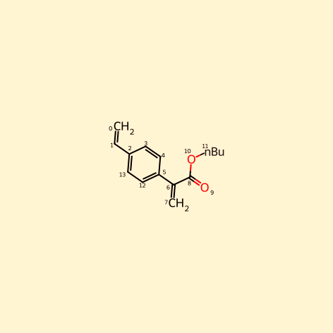 C=Cc1ccc(C(=C)C(=O)OCCCC)cc1